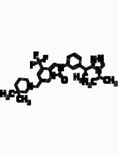 CC(C)n1cnnc1[C@@H](C)c1cccc(-n2cc3c(C(F)(F)F)cc(CN4CCCC(C)(C)C4)cn3c2=O)c1